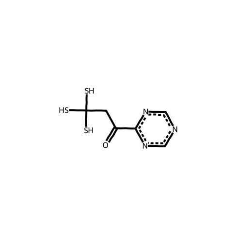 O=C(CC(S)(S)S)c1ncncn1